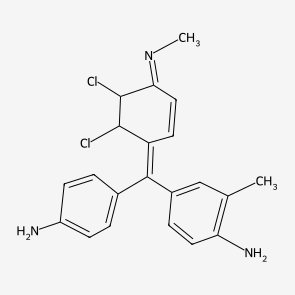 CN=C1C=CC(=C(c2ccc(N)cc2)c2ccc(N)c(C)c2)C(Cl)C1Cl